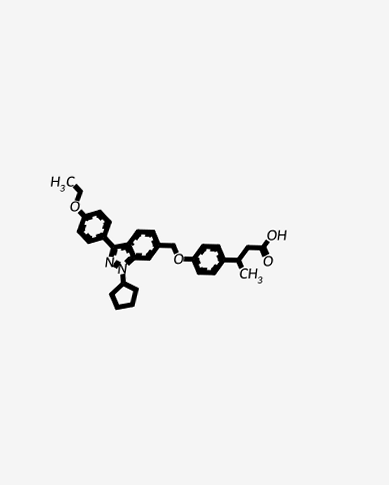 CCOc1ccc(-c2nn(C3CCCC3)c3cc(COc4ccc(C(C)CC(=O)O)cc4)ccc23)cc1